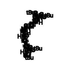 CC(C)(C)OC(=O)/N=C(/NC(=O)OC(C)(C)C)N1CCN(c2ccc(NC(=O)c3cc(C(=O)Nc4ccc(N5CCN(/C(=N\C(=O)OC(C)(C)C)NC(=O)OC(C)(C)C)CC5)cc4)ncn3)cc2)CC1